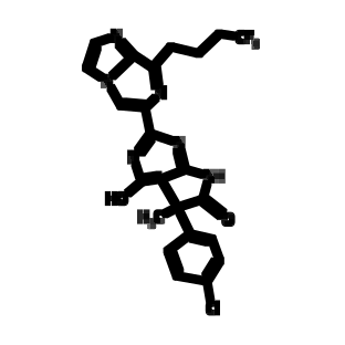 CC1(c2ccc(Cl)cc2)C(=O)Nc2nc(-c3cn4ccnc4c(CCCC(F)(F)F)n3)nc(O)c21